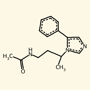 CC(=O)NCCC(C)n1cncc1-c1ccccc1